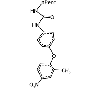 CCCCCNC(=O)Nc1ccc(Oc2ccc([N+](=O)[O-])cc2C)cc1